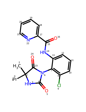 CC(C)C1(C)NC(=O)N(c2c(Cl)cccc2NC(=O)c2ccccn2)C1=O